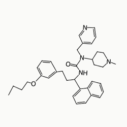 CCCCOc1cccc(CCC(NC(=O)N(Cc2cccnc2)C2CCN(C)CC2)c2cccc3ccccc23)c1